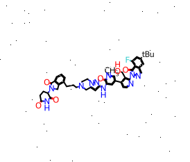 Cn1cc(-c2ccnc(-n3ncc4cc(C(C)(C)C)cc(F)c4c3=O)c2CO)cc(Nc2cc3n(n2)CCN(CCCc2cccc4c2CN(C2CCC(=O)NC2=O)C4=O)C3)c1=O